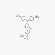 CC(C)(C)c1ccc(N(c2ccc(C(C)(C)C)cc2)c2cnc3c(c2)C(C)(C)c2cc(C=C(C#N)C#N)sc2-3)cc1